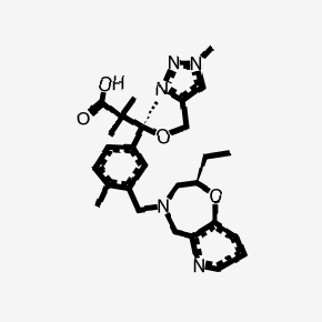 CC[C@@H]1CN(Cc2cc([C@](C)(OCc3cn(C)nn3)C(C)(C)C(=O)O)ccc2C)Cc2ncccc2O1